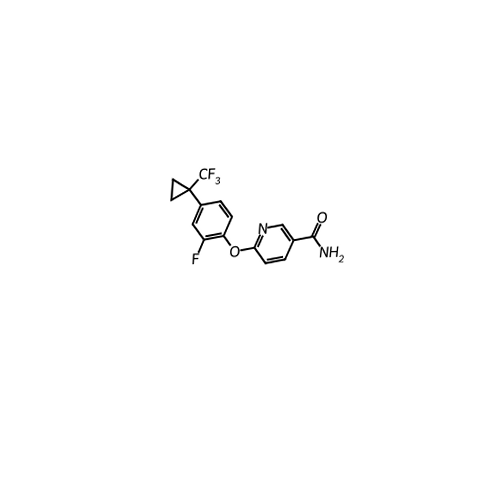 NC(=O)c1ccc(Oc2ccc(C3(C(F)(F)F)CC3)cc2F)nc1